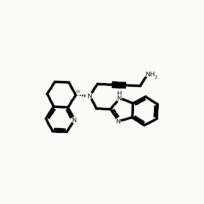 NCC#CCN(Cc1nc2ccccc2[nH]1)[C@H]1CCCc2cccnc21